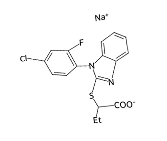 CCC(Sc1nc2ccccc2n1-c1ccc(Cl)cc1F)C(=O)[O-].[Na+]